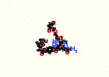 CC(C)C(NC(=O)OCCOCCN1C(=O)C=CC1=O)C(=O)N[C@@H](CCCNC(N)=O)C(=O)Nc1ccc(COC(=O)N(C)CCN(C)C(=O)C(C)(C)C)cc1